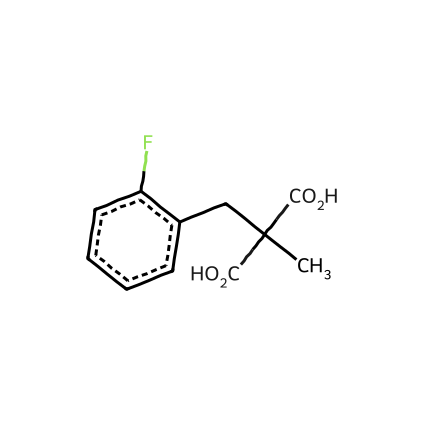 CC(Cc1ccccc1F)(C(=O)O)C(=O)O